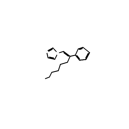 CCCCCC/C(=C\n1ccnc1)c1ccccc1